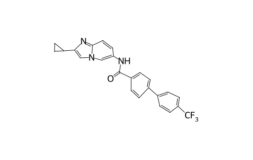 O=C(Nc1ccc2nc(C3CC3)cn2c1)c1ccc(-c2ccc(C(F)(F)F)cc2)cc1